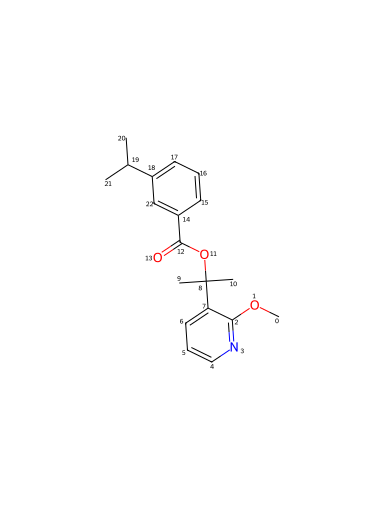 COc1ncccc1C(C)(C)OC(=O)c1cccc(C(C)C)c1